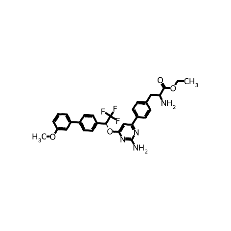 CCOC(=O)C(N)Cc1ccc(-c2cc(O[C@H](c3ccc(-c4cccc(OC)c4)cc3)C(F)(F)F)nc(N)n2)cc1